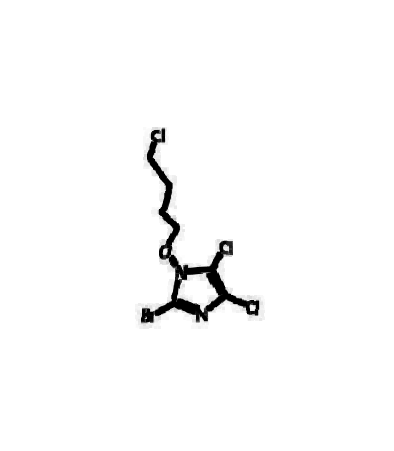 ClCCCCOn1c(Br)nc(Cl)c1Cl